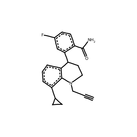 C#CCN1CCC(c2cc(F)ccc2C(N)=O)c2cccc(C3CC3)c21